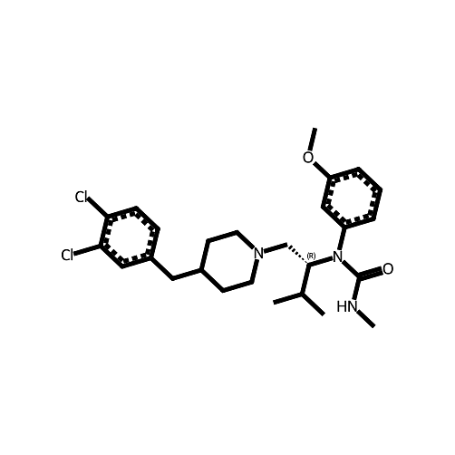 CNC(=O)N(c1cccc(OC)c1)[C@@H](CN1CCC(Cc2ccc(Cl)c(Cl)c2)CC1)C(C)C